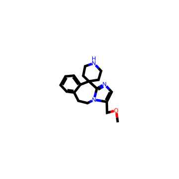 COCc1cnc2n1CCc1ccccc1C21CCNCC1